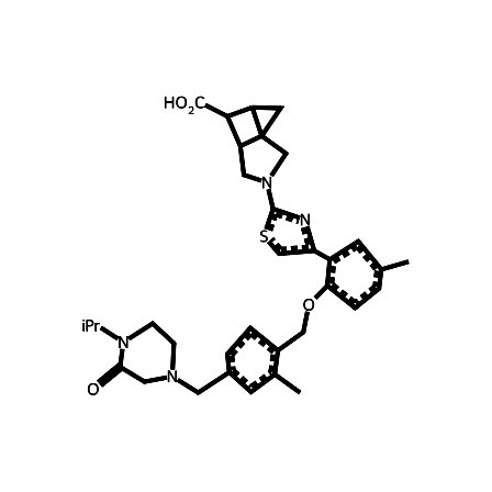 Cc1ccc(OCc2ccc(CN3CCN(C(C)C)C(=O)C3)cc2C)c(-c2csc(N3CC4C(C(=O)O)C5CC45C3)n2)c1